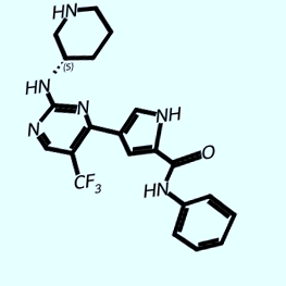 O=C(Nc1ccccc1)c1cc(-c2nc(N[C@H]3CCCNC3)ncc2C(F)(F)F)c[nH]1